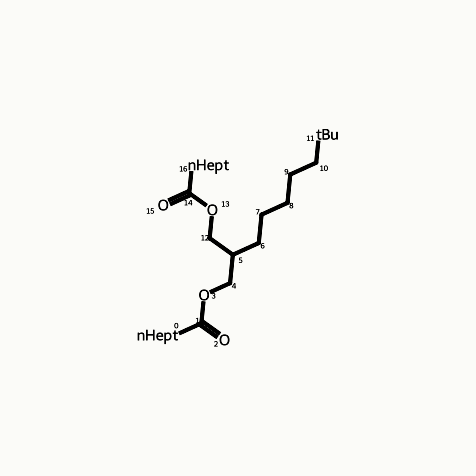 CCCCCCCC(=O)OCC(CCCCCC(C)(C)C)COC(=O)CCCCCCC